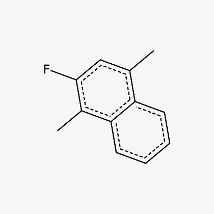 Cc1cc(F)c(C)c2ccccc12